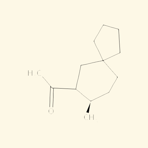 CC(=O)C1CC2(CCCC2)CC[C@H]1C